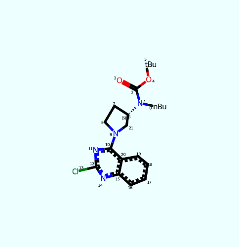 CCCCN(C(=O)OC(C)(C)C)[C@H]1CCN(c2nc(Cl)nc3ccccc23)C1